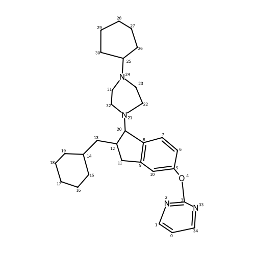 c1cnc(Oc2ccc3c(c2)CC(CC2CCCCC2)C3N2CCN(C3CCCCC3)CC2)nc1